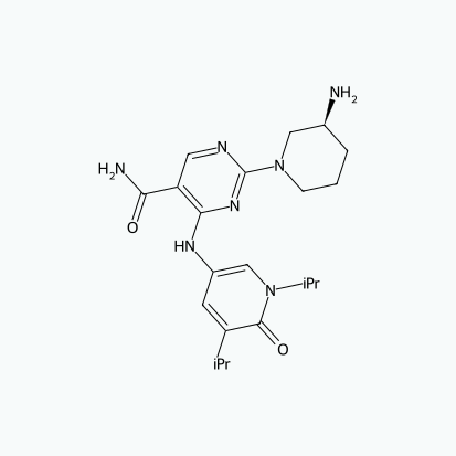 CC(C)c1cc(Nc2nc(N3CCC[C@H](N)C3)ncc2C(N)=O)cn(C(C)C)c1=O